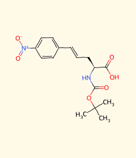 CC(C)(C)OC(=O)N[C@@H](C/C=C/c1ccc([N+](=O)[O-])cc1)C(=O)O